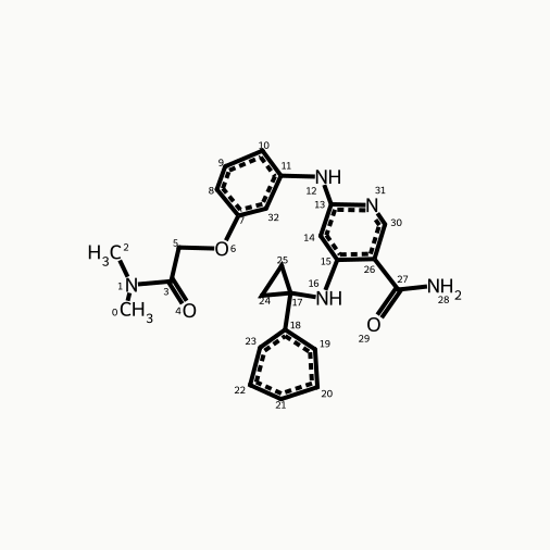 CN(C)C(=O)COc1cccc(Nc2cc(NC3(c4ccccc4)CC3)c(C(N)=O)cn2)c1